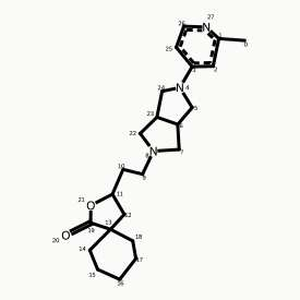 Cc1cc(N2CC3CN(CCC4CC5(CCCCC5)C(=O)O4)CC3C2)ccn1